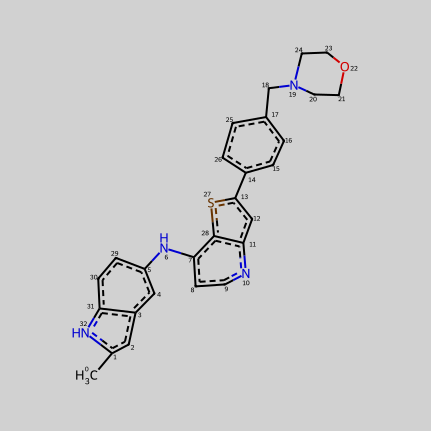 Cc1cc2cc(Nc3ccnc4cc(-c5ccc(CN6CCOCC6)cc5)sc34)ccc2[nH]1